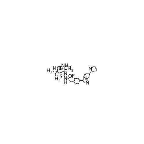 CC(C)(C)c1sc(NC(=O)Cc2ccc(-c3cnc4cc(-c5ccccn5)ccn34)cc2F)nc1C(C)(C)N